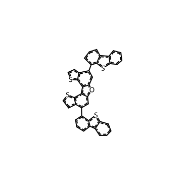 c1ccc2c(c1)sc1c(-c3cc4oc5cc(-c6cccc7c6sc6ccccc67)c6ccsc6c5c4c4sccc34)cccc12